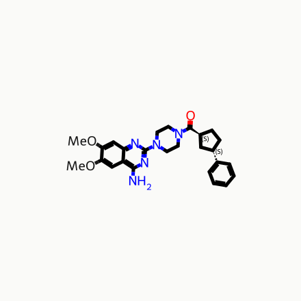 COc1cc2nc(N3CCN(C(=O)[C@H]4CC[C@H](c5ccccc5)C4)CC3)nc(N)c2cc1OC